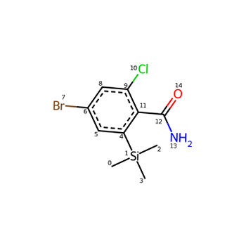 C[Si](C)(C)c1cc(Br)cc(Cl)c1C(N)=O